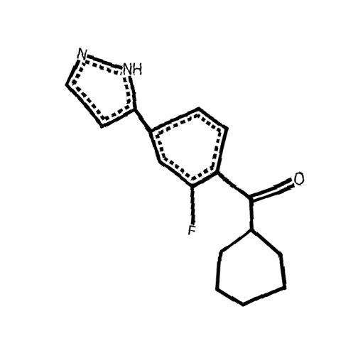 O=C(c1ccc(-c2ccn[nH]2)cc1F)C1CCCCC1